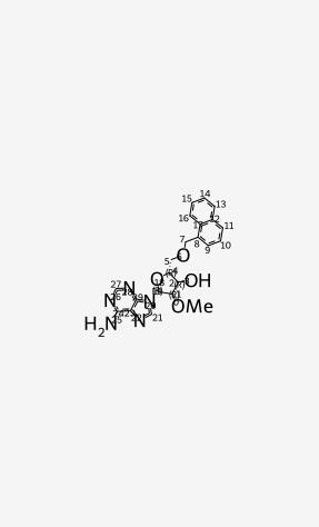 CO[C@@H]1[C@H](O)[C@@H](COCc2cccc3ccccc23)O[C@H]1n1cnc2c(N)ncnc21